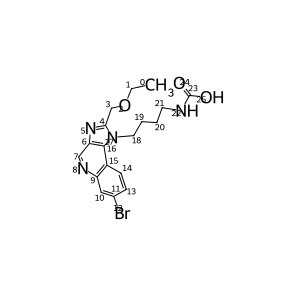 CCOCc1nc2cnc3cc(Br)ccc3c2n1CCCCNC(=O)O